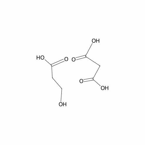 O=C(O)CC(=O)O.O=C(O)CCO